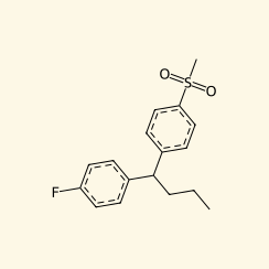 CCCC(c1ccc(F)cc1)c1ccc(S(C)(=O)=O)cc1